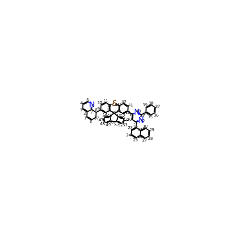 C1=Cc2cccnc2C(c2ccc3c(c2)C2(c4cc(-c5cc(-c6cccc7ccccc67)nc(-c6ccccc6)n5)ccc4S3)c3ccccc3-c3ccccc32)C1